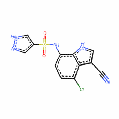 N#Cc1c[nH]c2c(NS(=O)(=O)c3cn[nH]c3)ccc(Cl)c12